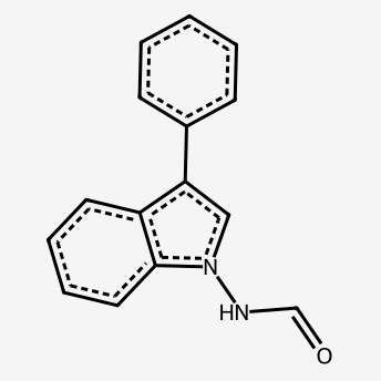 O=CNn1cc(-c2ccccc2)c2ccccc21